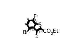 CCOC(=O)c1sc2c(F)ccc(Br)c2c1C